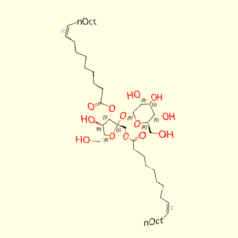 CCCCCCCC/C=C\CCCCCCCC(=O)OC[C@@]1(O[C@H]2O[C@H](CO)[C@@H](O)[C@H](O)[C@H]2O)O[C@H](CO)[C@@H](O)[C@@H]1OC(=O)CCCCCCC/C=C\CCCCCCCC